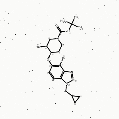 CC(C)(C)OC(=O)N1CC[C@@H](Oc2ccc3c(nnn3CC3CC3)c2Br)[C@@H](O)C1